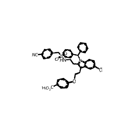 N#Cc1ccc(CS(=O)(=O)NCCc2c(CCOc3ccc(C(=O)O)cc3)c3cc(Cl)ccc3n2C(c2ccccc2)c2ccccc2)cc1